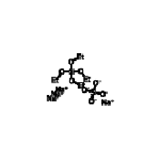 CCO[Si](OCC)(OCC)OCC.[Na+].[Na+].[Na+].[Na+].[O-][Si]([O-])([O-])[O-]